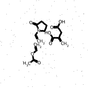 C=C(CC(=O)O)C(=O)O.C=CN1CCCC1=O.C=COC(C)=O